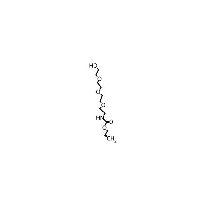 C=CCOC(=O)NCCOCCOCCOCCO